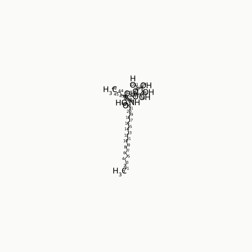 CCCCCCCCCCCCCCCCCCCCCCC(=O)N[C@@H](COC1OC(CO)C(O)C(O)C1O)[C@H](O)[C@H](O)CCCC